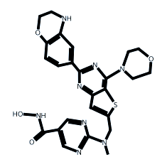 CN(Cc1cc2nc(-c3ccc4c(c3)NCCO4)nc(N3CCOCC3)c2s1)c1ncc(C(=O)NO)cn1